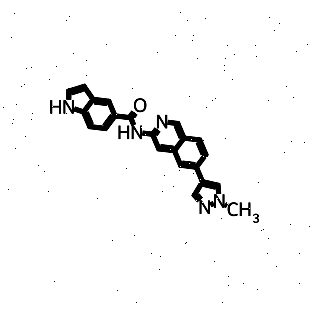 Cn1cc(-c2ccc3cnc(NC(=O)c4ccc5[nH]ccc5c4)cc3c2)cn1